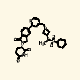 CN(C1CN(Cc2ccnc(-c3ccc4c(c3)CN([C@H]3CCC(=O)NC3=O)C4=O)c2)C1)S(=O)(=O)c1ccccc1